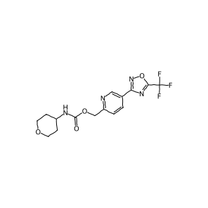 O=C(NC1CCOCC1)OCc1ccc(-c2noc(C(F)(F)F)n2)cn1